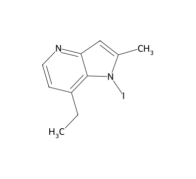 CCc1ccnc2cc(C)n(I)c12